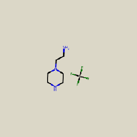 F[B-](F)(F)F.NCCN1CCNCC1